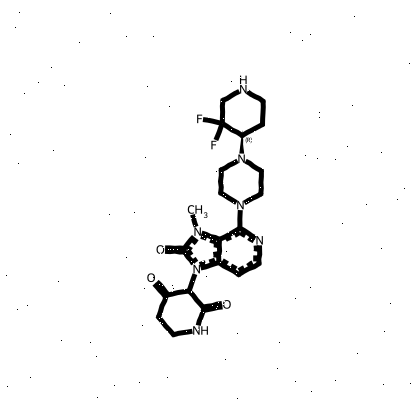 Cn1c(=O)n(C2C(=O)CCNC2=O)c2ccnc(N3CCN([C@@H]4CCNCC4(F)F)CC3)c21